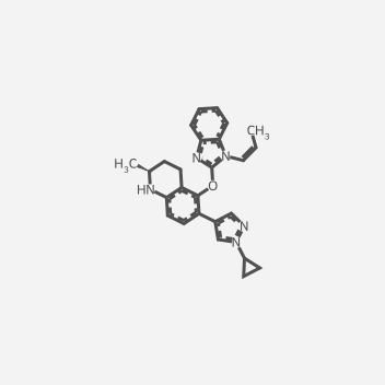 C/C=C\n1c(Oc2c(-c3cnn(C4CC4)c3)ccc3c2CC[C@H](C)N3)nc2ccccc21